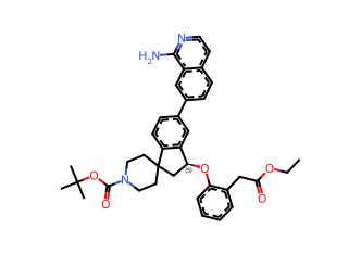 CCOC(=O)Cc1ccccc1O[C@H]1CC2(CCN(C(=O)OC(C)(C)C)CC2)c2ccc(-c3ccc4ccnc(N)c4c3)cc21